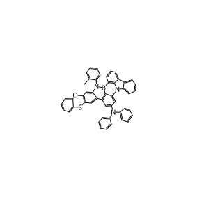 Cc1ccccc1N1B2c3c(cc(N(c4ccccc4)c4ccccc4)cc3-n3c4ccccc4c4cccc2c43)-c2cc3c(cc21)Oc1ccccc1S3